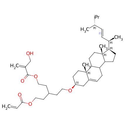 C=CC(=O)OCCC(CCOC(=O)C(=C)CO)CCO[C@H]1CC[C@@]2(C)C(=CCC3C2CC[C@@]2(C)C3CC[C@@H]2[C@H](C)/C=C/[C@H](C)C(C)C)C1